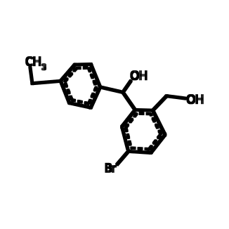 CCc1ccc(C(O)c2cc(Br)ccc2CO)cc1